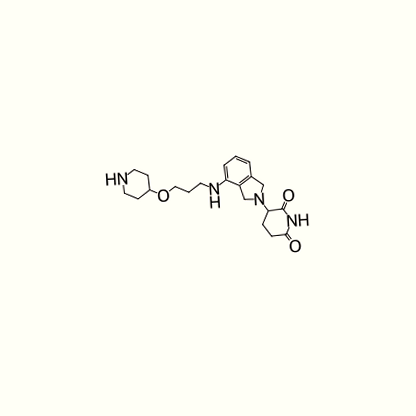 O=C1CCC(N2Cc3cccc(NCCCOC4CCNCC4)c3C2)C(=O)N1